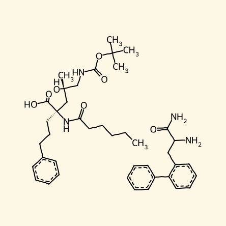 CCCCCC(=O)N[C@](CCCc1ccccc1)(C[C@](C)(O)CNC(=O)OC(C)(C)C)C(=O)O.NC(=O)C(N)Cc1ccccc1-c1ccccc1